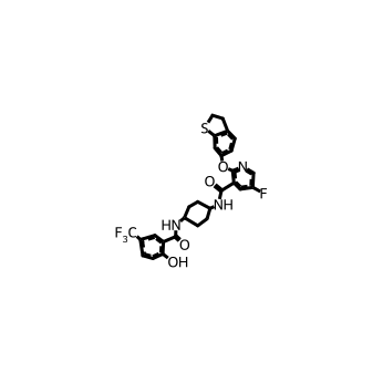 O=C(NC1CCC(NC(=O)c2cc(F)cnc2Oc2ccc3c(c2)SCC3)CC1)c1cc(C(F)(F)F)ccc1O